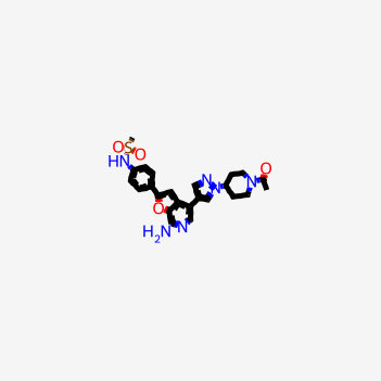 CC(=O)N1CCC(n2cc(-c3cnc(N)c4oc(-c5ccc(NS(C)(=O)=O)cc5)cc34)cn2)CC1